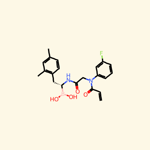 C=CC(=O)N(CC(=O)N[C@@H](Cc1ccc(C)cc1C)B(O)O)c1cccc(F)c1